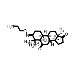 CC1(C)C(=NOCCN)CC[C@]2(C)[C@H]3CC[C@]4(C)C(=O)CC[C@H]4[C@@H]3CC(=O)[C@@]12O